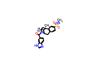 CNS(=O)(=O)c1ccc2c(c1)[C@]1(C)CCN(C(=O)c3ccc4nc[nH]c4c3)C(C2)C1(C)C